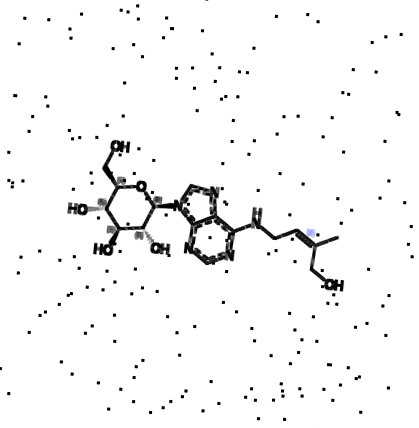 C/C(=C/CNc1ncnc2c1ncn2[C@@H]1O[C@H](CO)[C@@H](O)[C@H](O)[C@H]1O)CO